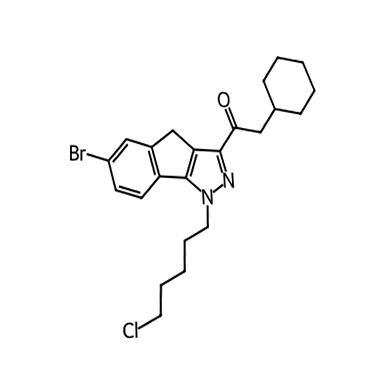 O=C(CC1CCCCC1)c1nn(CCCCCCl)c2c1Cc1cc(Br)ccc1-2